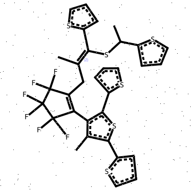 C/C(CC1=C(c2c(-c3cccs3)sc(-c3cccs3)c2C)C(F)(F)C(F)(F)C1(F)F)=C(/SC(C)c1cccs1)c1cccs1